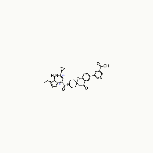 C=c1/c(=C(\C=C(/N)C2CC2)C(=O)N2CCC3(CC2)CC(=O)c2cc(-c4cncc(C(=O)O)c4)ccc2O3)cnn1C(C)C